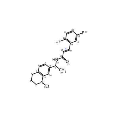 CCN1CCCc2ccc(C(C)NC(=O)/C=C/c3cc(F)ccc3F)cc21